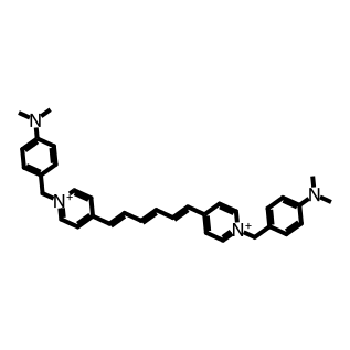 CN(C)c1ccc(C[n+]2ccc(/C=C/C=C/C=C/c3cc[n+](Cc4ccc(N(C)C)cc4)cc3)cc2)cc1